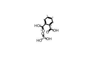 O=C(O)c1ccccc1C(=O)O.[O]=[Ti]([OH])[OH]